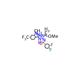 COC[C@H](C)N/C(=N/C(=O)c1ccc(F)c(F)c1)Nc1nn(C)c2cc(C(F)(F)F)ccc12